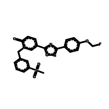 CS(=O)(=O)c1cccc(Cn2cc(-c3nc(-c4ccc(OCF)cc4)no3)ccc2=O)c1